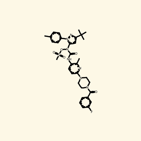 Cc1ccc(-n2nc(C(C)(C)C)cc2N(OS(C)(=O)=O)C(=O)Nc2ccc(N3CCN(C(=O)c4cccc(F)c4)CC3)nc2C)cc1